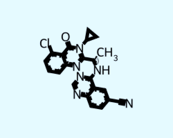 C[C@H](Nc1ncnc2ccc(C#N)cc12)c1nc2cccc(Cl)c2c(=O)n1C1CC1